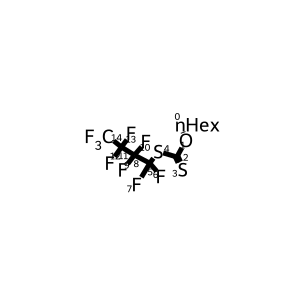 CCCCCCOC(=S)SC(F)(F)C(F)(F)C(F)(F)C(F)(F)F